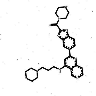 O=C(c1nc2ccc(-c3cc(NCCCN4CCCCC4)c4cnccc4n3)cc2s1)N1CCNCC1